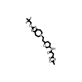 Cc1nc(CC(=O)NC2CCC(CCN3CCc4nc(OCC(C)(F)F)sc4CC3)OC2)no1